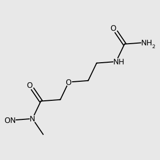 CN(N=O)C(=O)COCCNC(N)=O